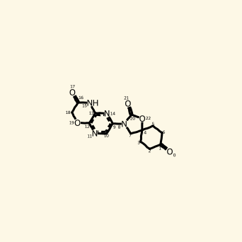 O=C1CCC2(CC1)CN(c1cnc3c(n1)NC(=O)CO3)C(=O)O2